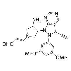 C#CC1c2cncnc2N([C@H]2CN(C=CC=O)CC2N)N1c1cc(OC)cc(OC)c1